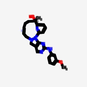 COc1cccc(Nc2ncc3c(n2)N2c4cccc(n4)[C@@](C)(O)CC/C=C\CN2C3)c1